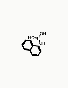 OP(O)O.c1ccc2ccccc2c1